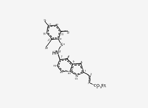 CCOC(=O)/C=C/c1cc2cc(NSc3c(C)cc(C)cc3C)ccc2s1